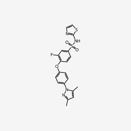 Cc1cc(C)n(-c2ccc(Oc3ccc(S(=O)(=O)Nc4nccs4)cc3F)cc2)n1